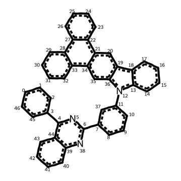 c1ccc(-c2nc(-c3cccc(-n4c5ccccc5c5cc6c7ccccc7c7ccccc7c6cc54)c3)nc3ccccc23)cc1